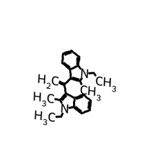 C=C(c1c(C)n(CC)c2ccccc12)c1c(C)n(CC)c2ccccc12